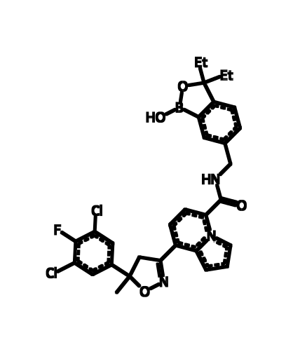 CCC1(CC)OB(O)c2cc(CNC(=O)c3ccc(C4=NOC(C)(c5cc(Cl)c(F)c(Cl)c5)C4)c4cccn34)ccc21